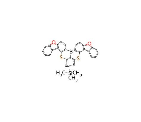 C[Si](C)(C)c1cc2c3c(c1)Sc1c(ccc4oc5ccccc5c14)B3c1ccc3oc4ccccc4c3c1S2